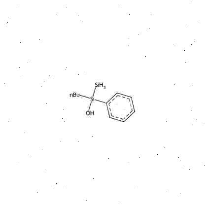 CCCC[Si](O)([SiH3])c1ccccc1